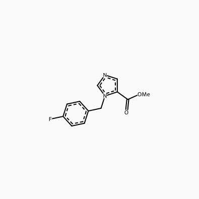 COC(=O)c1cncn1Cc1ccc(F)cc1